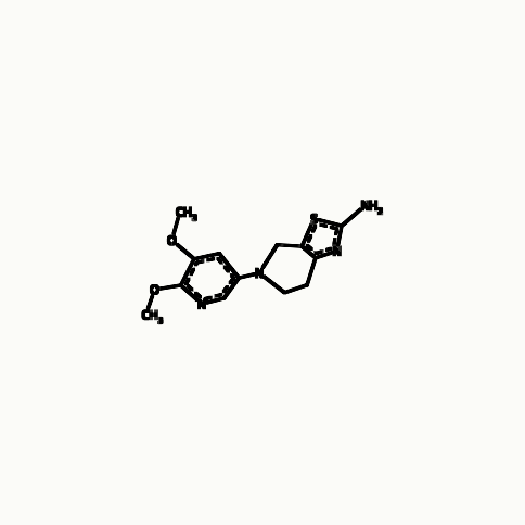 COc1cc(N2CCc3nc(N)sc3C2)cnc1OC